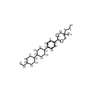 CCCC1(F)COC(c2ccc(C3CCC(C4CCC(CC)CC4)CC3)cc2)OC1